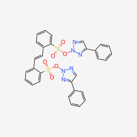 O=S(=O)(On1ncc(-c2ccccc2)n1)c1ccccc1C=Cc1ccccc1S(=O)(=O)On1ncc(-c2ccccc2)n1